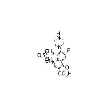 CCn1cc(C(=O)O)c(=O)c2cc(F)c(N3CCNCC3)cc21.C[S+](C)[O-]